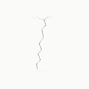 CCCCCCCCCCCCCCCC(N)C(C)C